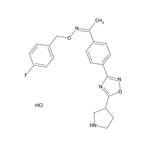 CC(=NOCc1ccc(F)cc1)c1ccc(-c2noc(C3CCNC3)n2)cc1.Cl